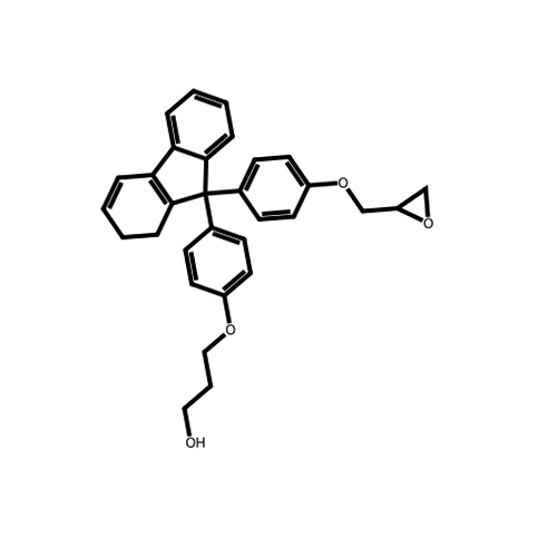 OCCCOc1ccc(C2(c3ccc(OCC4CO4)cc3)C3=C(C=CCC3)c3ccccc32)cc1